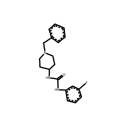 O=C(Nc1cccc(F)c1)NC1CCN(Cc2ccccc2)CC1